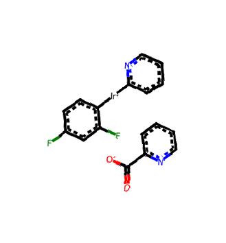 Fc1cc[c]([Ir+][c]2ccccn2)c(F)c1.O=C([O-])c1ccccn1